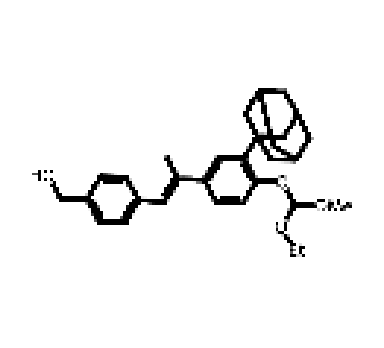 CCOC(OC)Oc1ccc(/C(C)=C/c2ccc(CO)cc2)cc1C12CC3CC(CC(C3)C1)C2